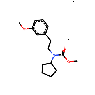 COC(=O)N(CCc1cccc(OC)c1)C1CCCC1